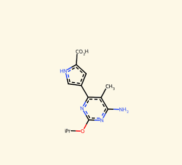 Cc1c(N)nc(OC(C)C)nc1-c1c[nH]c(C(=O)O)c1